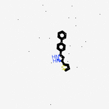 C1=C(c2ccc(-c3ccccc3)cc2)NNC1c1cccs1